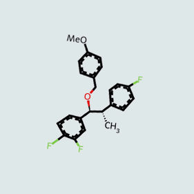 COc1ccc(CO[C@H](c2ccc(F)c(F)c2)[C@@H](C)c2ccc(F)cc2)cc1